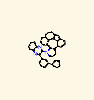 c1ccc(-c2cccc(-c3nc4ccccc4nc3-n3cccc4c5cccc6cc7ccc8cccc(c8c7c65)c43)c2)cc1